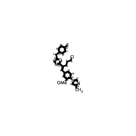 COc1cc(/C=C(\CCCCl)c2nnc(Cc3ccc(F)cc3)o2)ccc1-n1cnc(C)c1